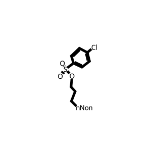 CCCCCCCCCCCCOS(=O)(=O)c1ccc(Cl)cc1